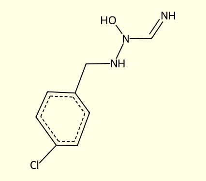 N=CN(O)NCc1ccc(Cl)cc1